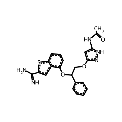 CC(=O)Nc1cc(OCC(Oc2cccc3sc(C(=N)N)cc23)c2ccccc2)n[nH]1